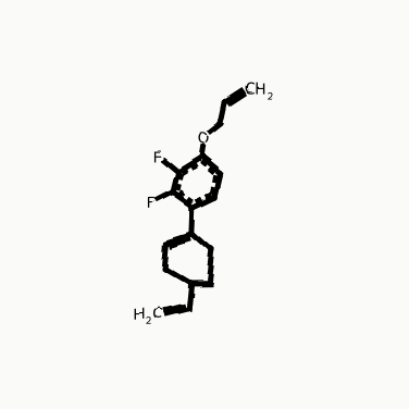 C=CCOc1ccc(C2=CCC(C=C)CC2)c(F)c1F